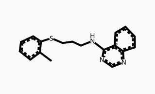 Cc1ccccc1SCCCNc1ncnc2ccccc12